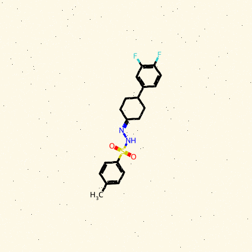 Cc1ccc(S(=O)(=O)NN=C2CCC(c3ccc(F)c(F)c3)CC2)cc1